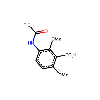 COc1ccc(NC(=O)C(F)(F)F)c(OC)c1C(=O)O